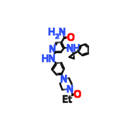 CCC(=O)N1CCN(c2ccc(Nc3cc(NC4(c5ccccc5)CC4)c(C(N)=O)cn3)cc2)CC1